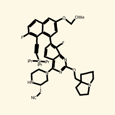 COCOc1cc(-c2ccc3c(N4CCN[C@@H](CC#N)C4)nc(OCC45CCCN4CCC5)nc3c2F)c2c(C#C[Si](C(C)C)(C(C)C)C(C)C)c(F)ccc2c1